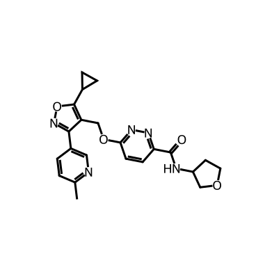 Cc1ccc(-c2noc(C3CC3)c2COc2ccc(C(=O)NC3CCOC3)nn2)cn1